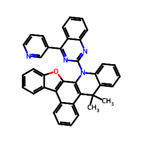 CC1(C)c2ccccc2N(c2nc(-c3cccnc3)c3ccccc3n2)c2c1c1ccccc1c1c2oc2ccccc21